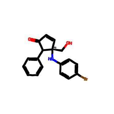 O=C1C=C[C@](CO)(Nc2ccc(Br)cc2)C1c1ccccc1